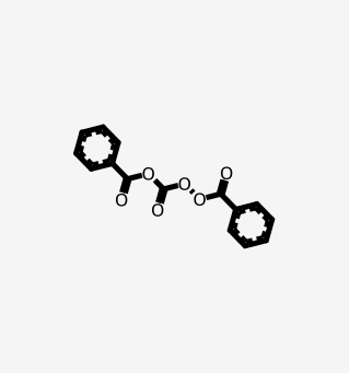 O=C(OOC(=O)c1ccccc1)OC(=O)c1ccccc1